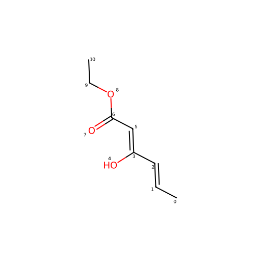 CC=CC(O)=CC(=O)OCC